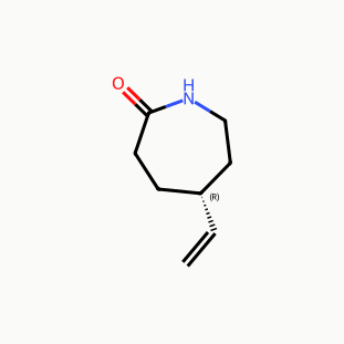 C=C[C@H]1CCNC(=O)CC1